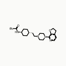 CCC(C)C(=O)N[C@H]1CC[C@H](CCN2CCN(c3nccc4c3OCC4)CC2)CC1